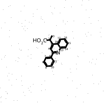 CC(C(=O)O)c1cc(-c2ccccc2)nc2ccccc12